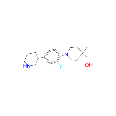 CC1(CO)CCN(c2ccc(C3CCCNC3)cc2F)CC1